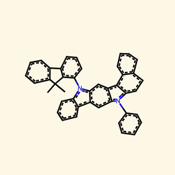 CC1(C)c2ccccc2-c2cccc(-n3c4ccccc4c4cc5c(cc43)c3c4ccccc4ccc3n5-c3ccccc3)c21